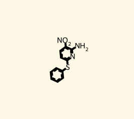 Nc1nc(Sc2ccccc2)ccc1[N+](=O)[O-]